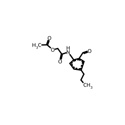 CCCc1ccc(NC(=O)COC(C)=O)c(C=O)c1